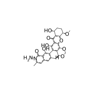 CO[C@@H]1CC[C@H](O)c2c1oc1c3c4c(c(O)c1c2=O)-c1c(cc2cc(C)n(N)c(=O)c2c1O)C[C@H]4OCO3